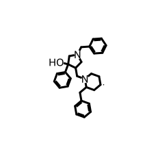 OC1(c2ccccc2)CN(Cc2ccccc2)CC1CN1CC[CH]CC1Cc1ccccc1